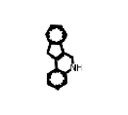 c1ccc2c(c1)CC1=C2CNc2ccccc21